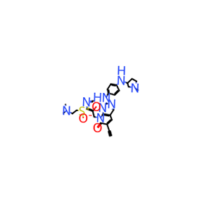 C#Cc1cc2cnc(Nc3ccc(NC4CCN(C)C4)cc3)nc2n(Cc2ocnc2[S+]([O-])CCN(C)C)c1=O